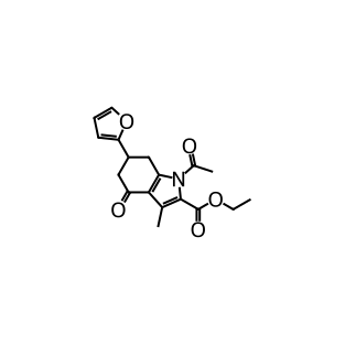 CCOC(=O)c1c(C)c2c(n1C(C)=O)CC(c1ccco1)CC2=O